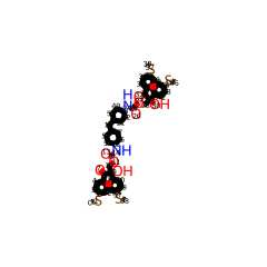 CSc1ccc(C(=O)C(O)(COC(=O)NC2CCC(CC3CCC(NC(=O)OCC(O)(C(=O)c4ccc(SC)cc4)c4ccc(SC)cc4)CC3)CC2)c2ccc(SC)cc2)cc1